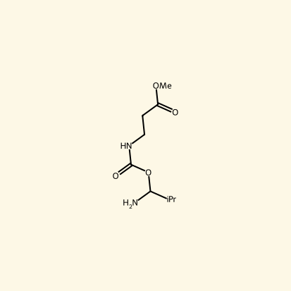 COC(=O)CCNC(=O)OC(N)C(C)C